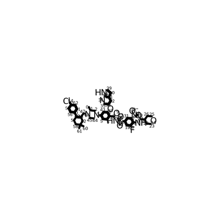 CC1CN(c2ccc(C(=O)NS(=O)(=O)c3cc(F)c(NCC4CCOCC4)c([N+](=O)[O-])c3)c(Oc3cnc4[nH]ccc4c3)c2)CCN1CC1=C(c2ccc(Cl)cc2)CCC(C)(C)C1